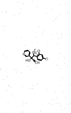 C#CC(O)(c1cccnc1)C(SC)c1ccc(Cl)cc1Cl